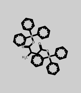 CC(CC(=O)OS(c1ccccc1)(c1ccccc1)c1ccccc1)C(=O)OS(c1ccccc1)(c1ccccc1)c1ccccc1